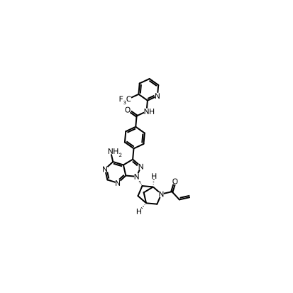 C=CC(=O)N1C[C@@H]2C[C@H]1[C@@H](n1nc(-c3ccc(C(=O)Nc4ncccc4C(F)(F)F)cc3)c3c(N)ncnc31)C2